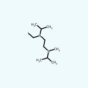 CC(C)N(C)CCN(CI)C(C)C